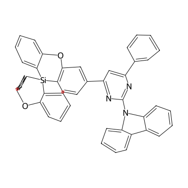 c1ccc(-c2cc(-c3ccc4c(c3)Oc3ccccc3[Si]43c4ccccc4Oc4ccccc43)nc(-n3c4ccccc4c4ccccc43)n2)cc1